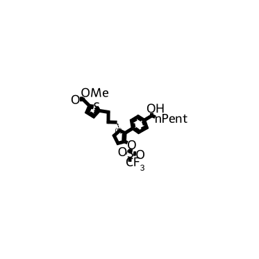 CCCCCC(O)c1ccc(C2=C(OS(=O)(=O)C(F)(F)F)CC[C@@H]2CCCc2ccc(C(=O)OC)s2)cc1